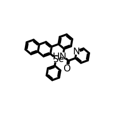 O=C(Nc1ccccc1-c1cc2ccccc2cc1[Se]c1ccccc1)c1ccccn1